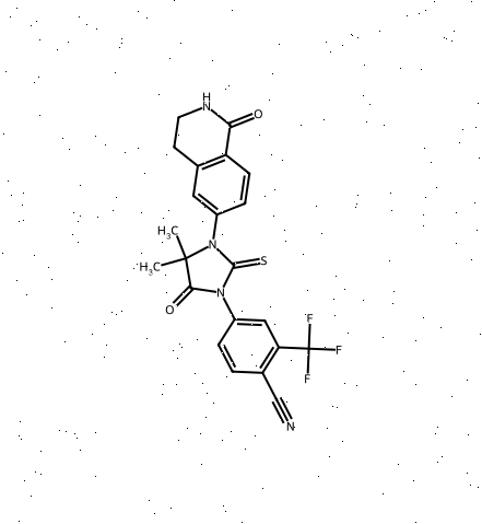 CC1(C)C(=O)N(c2ccc(C#N)c(C(F)(F)F)c2)C(=S)N1c1ccc2c(c1)CCNC2=O